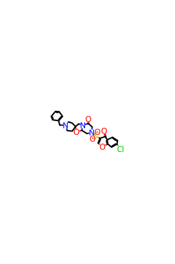 O=C1CN(S(=O)(=O)c2coc3cc(Cl)ccc3c2=O)CC2OC3(CCN(Cc4ccccc4)CC3)CN12